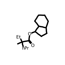 CCCC(C)(CC)C(=O)OC1CCC2CCCCC21